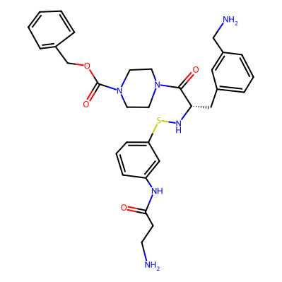 NCCC(=O)Nc1cccc(SN[C@@H](Cc2cccc(CN)c2)C(=O)N2CCN(C(=O)OCc3ccccc3)CC2)c1